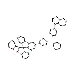 c1ccc(N(c2ccc(-c3ccc4c(c3)-c3ccccc3C43c4ccccc4-c4oc5ccccc5c43)cc2)c2ccc(-c3cccc4ccccc34)cc2)cc1